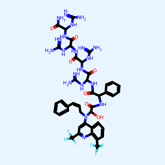 N=C(N)NC(NC(=O)C(NC(=N)N)NC(=O)C(NC(=N)N)NC(=O)C(NC(=N)N)NC(=O)C(NC(=O)C(O)N(C/C=C\c1ccccc1)c1cc(C(F)(F)F)nc2c(C(F)(F)F)cccc12)c1ccccc1)C(N)=O